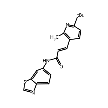 Cc1nc(C(C)(C)C)ccc1/C=C/C(=O)Nc1ccc2ncsc2c1